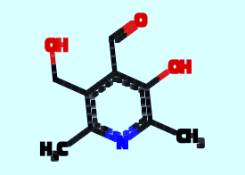 Cc1nc(C)c(CO)c(C=O)c1O